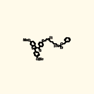 CCN(CCCCNC(=O)OCc1ccccc1)CCOc1ccc(C(=O)c2c(-c3ccc(OC)cc3)sc3cc(OC)ccc23)cc1